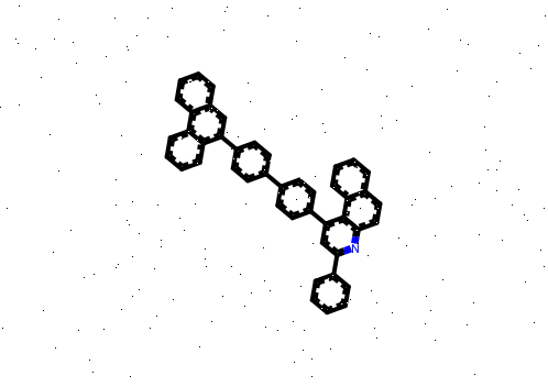 c1ccc(-c2cc(-c3ccc(-c4ccc(-c5cc6ccccc6c6ccccc56)cc4)cc3)c3c(ccc4ccccc43)n2)cc1